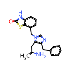 C=C(N)Cc1c(Cc2ccccc2)ncn1Cc1cccc2[nH]c(=O)sc12